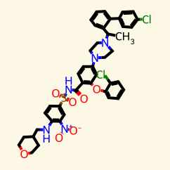 CC(c1ccccc1-c1ccc(Cl)cc1)N1CCN(c2ccc(C(=O)NS(=O)(=O)c3ccc(NCC4CCOCC4)c([N+](=O)[O-])c3)c(Oc3ccccc3Cl)c2)CC1